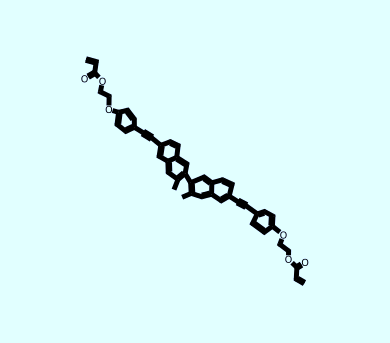 C=CC(=O)OCCOc1ccc(C#Cc2ccc3cc(-c4cc5ccc(C#Cc6ccc(OCCOC(=O)C=C)cc6)cc5cc4C)c(C)cc3c2)cc1